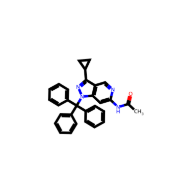 CC(=O)Nc1cc2c(cn1)c(C1CC1)nn2C(c1ccccc1)(c1ccccc1)c1ccccc1